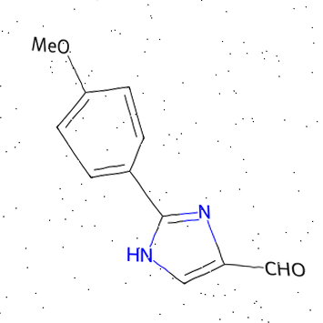 COc1ccc(-c2nc(C=O)c[nH]2)cc1